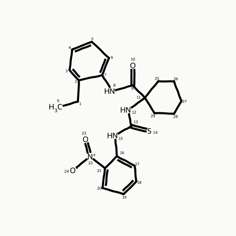 CCc1ccccc1NC(=O)C1(NC(=S)Nc2ccccc2[N+](=O)[O-])CCCCC1